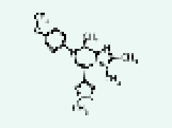 C=C1c2nc(C)n(C)c2C(c2cnn(C)c2)=CN1c1ccc(OC(F)(F)F)cc1